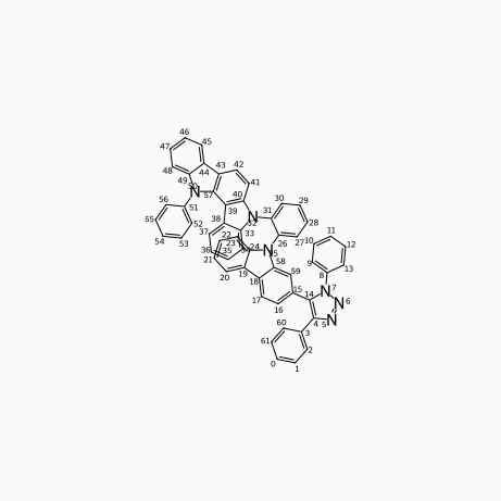 c1ccc(-c2nnn(-c3ccccc3)c2-c2ccc3c4ccccc4n(-c4ccccc4-n4c5ccccc5c5c4ccc4c6ccccc6n(-c6ccccc6)c45)c3c2)cc1